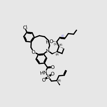 C=CC[C@@H](C)CS(=O)(=O)NC(=O)c1ccc2c(c1)N(C[C@@H]1CC[C@H]1[C@H](O)/C=C/CCC)CCCCc1cc(Cl)ccc1CO2